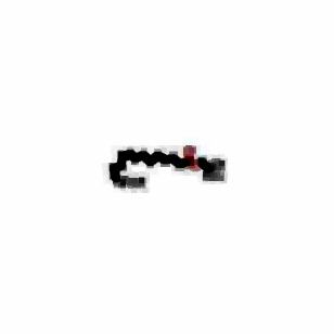 CCCCC/C=C\C/C=C\CCCCCCCC(=O)OCC(CC)CCCC